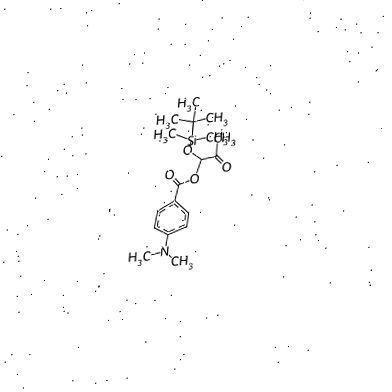 CC(=O)C(OC(=O)c1ccc(N(C)C)cc1)O[Si](C)(C)C(C)(C)C